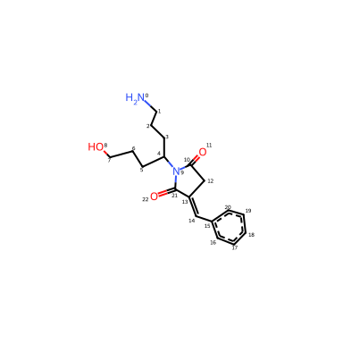 NCCCC(CCCO)N1C(=O)C/C(=C\c2ccccc2)C1=O